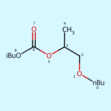 CCCCOCC(C)OC(=O)OCC(C)C